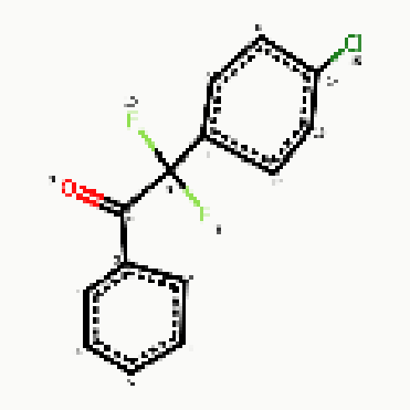 O=C(c1ccccc1)C(F)(F)c1ccc(Cl)cc1